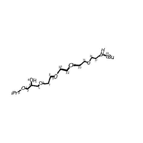 CC(C)OCC(O)COCCOCCOCCOCCNC(C)(C)C